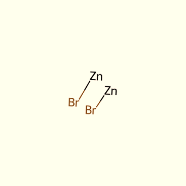 [Zn][Br].[Zn][Br]